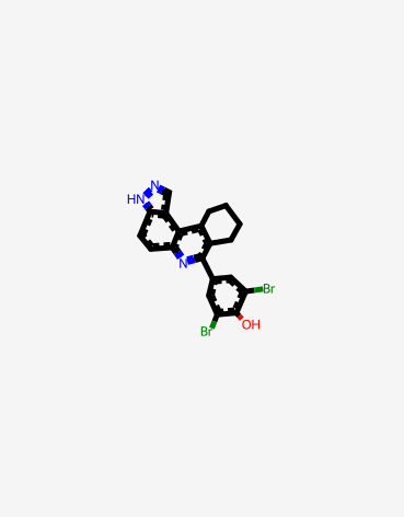 Oc1c(Br)cc(-c2nc3ccc4[nH]ncc4c3c3c2CCCC3)cc1Br